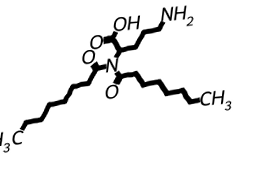 CCCCCCCC(=O)N(C(=O)CCCCCCC)C(CCCN)C(=O)O